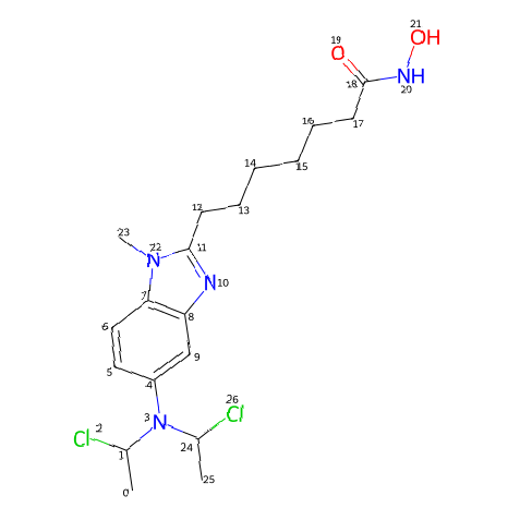 CC(Cl)N(c1ccc2c(c1)nc(CCCCCCC(=O)NO)n2C)C(C)Cl